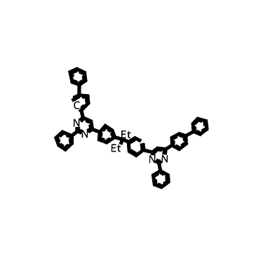 C=C(/C=C\C(=C/C)C(CC)(CC)c1ccc(-c2cc(-c3ccc(-c4ccccc4)cc3)nc(-c3ccccc3)n2)cc1)c1cc(-c2ccc(-c3ccccc3)cc2)nc(-c2ccccc2)n1